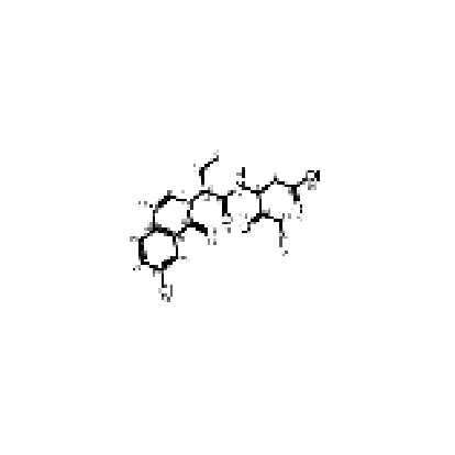 CC[C@@H](C(=O)NC(CC(=O)O)C(=O)CF)n1cnc2ccc(Cl)cc2c1=O